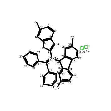 Cc1ccc2c(c1)C[C]([Zr+2](=[C](c1ccccc1)c1ccccc1)[CH]1c3cc(C)ccc3-c3ccc(C)cc31)=C2.[Cl-].[Cl-]